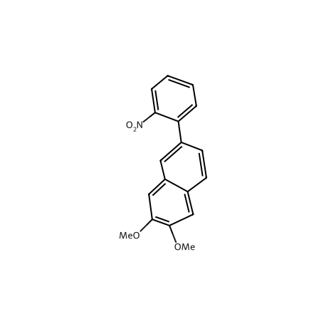 COc1cc2ccc(-c3ccccc3[N+](=O)[O-])cc2cc1OC